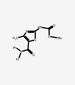 CCN(C(=O)c1sc(NC(=O)OC(C)(C)C)nc1C)C(C)C